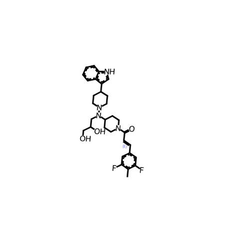 Cc1c(F)cc(/C=C/C(=O)N2CCC(N(CC(O)CO)N3CCC(c4c[nH]c5ccccc45)CC3)CC2)cc1F